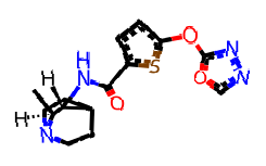 C[C@H]1[C@H](NC(=O)c2ccc(Oc3nnco3)s2)C2CCN1CC2